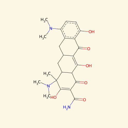 CN(C)c1ccc(O)c2c1CC1CC3C(C(=O)C(C(N)=O)=C(O)C3(C)N(C)C)C(O)=C1C2=O